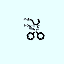 C=C[C@@H](O[Si](c1ccccc1)(c1ccccc1)C(C)(C)C)[C@H](CO)CNC